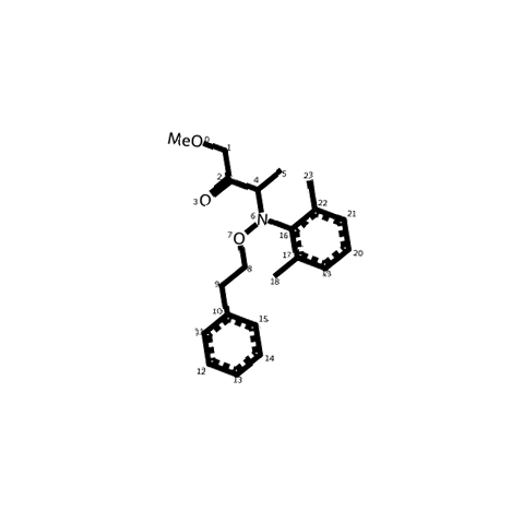 COCC(=O)C(C)N(OCCc1ccccc1)c1c(C)cccc1C